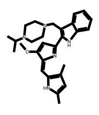 COC1=CC(c2[nH]c3ccccc3c2CN2CCN(C(C)C)CC2)=N/C1=C\c1[nH]c(C)cc1C